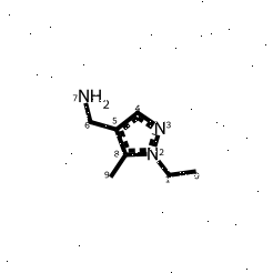 CCn1ncc(CN)c1C